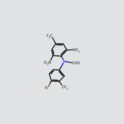 O=CN(c1ccc(Br)c(C(F)(F)F)c1)c1c([N+](=O)[O-])cc(C(F)(F)F)cc1[N+](=O)[O-]